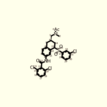 CC(=O)N(C)C[C@@H]1Cc2ccc(NC(=O)c3c(Cl)cccc3Cl)cc2C(S(=O)(=O)c2cccc(Cl)c2)C1